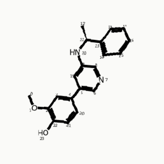 COc1cc(-c2cncc(N[C@@H](C)c3ccccc3)c2)ccc1O